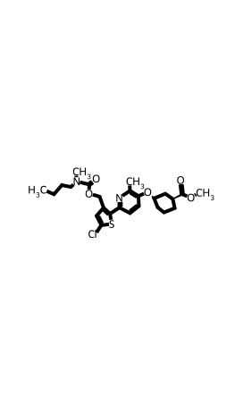 CCCCN(C)C(=O)OCc1cc(Cl)sc1-c1ccc(O[C@H]2CCC[C@H](C(=O)OC)C2)c(C)n1